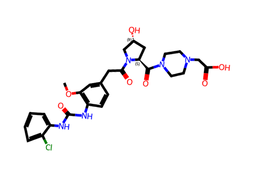 COc1cc(CC(=O)N2C[C@H](O)C[C@H]2C(=O)N2CCN(CC(=O)O)CC2)ccc1NC(=O)Nc1ccccc1Cl